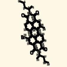 CCCC(C)N1C(=O)c2ccc3c4c(Br)cc5c6c(ccc(c7c(C)cc(c2c37)C1=O)c64)C(=O)N(C(C)CCC)C5=O